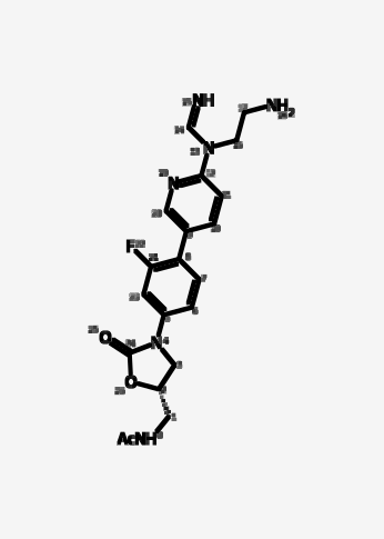 CC(=O)NC[C@H]1CN(c2ccc(-c3ccc(N(C=N)CCN)nc3)c(F)c2)C(=O)O1